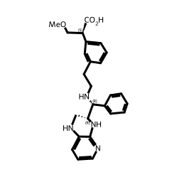 COC[C@@H](C(=O)O)c1cccc(CCN[C@H](c2ccccc2)[C@H]2CNc3cccnc3N2)c1